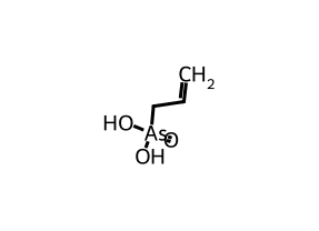 C=CC[As](=O)(O)O